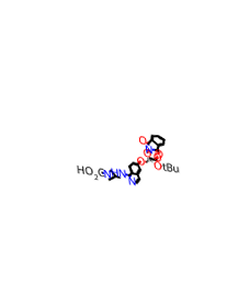 CC(C)(C)OC(=O)[C@H](COc1ccc2c(NCC3CN(C(=O)O)C3)nccc2c1)ON1C(=O)c2ccccc2C1=O